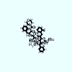 CC(C)C(NC(=O)C(Cc1ccccc1F)CC(O[Si](C)(C)C(C)(C)C)C(Cc1ccccc1)NC(=O)OC(C)(C)C)C(=O)NC(Cc1ccccc1)C(=O)NC(=O)N1CCOCC1